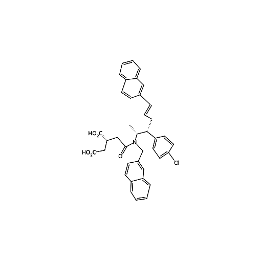 C[C@H]([C@H](C/C=C/c1ccc2ccccc2c1)c1ccc(Cl)cc1)N(Cc1ccc2ccccc2c1)C(=O)C[C@H](CC(=O)O)C(=O)O